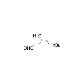 CCCCCCC(C)CCC=O